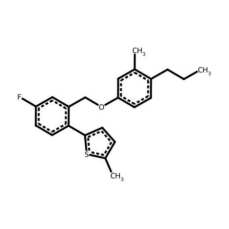 CCCc1ccc(OCc2cc(F)ccc2-c2ccc(C)s2)cc1C